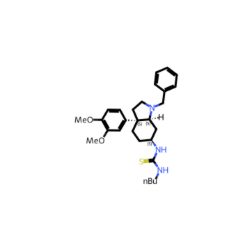 CCCCNC(=S)N[C@H]1CC[C@@]2(c3ccc(OC)c(OC)c3)CCN(Cc3ccccc3)[C@H]2C1